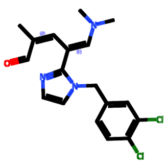 C/C(C=O)=C/C(=C\N(C)C)c1nccn1Cc1ccc(Cl)c(Cl)c1